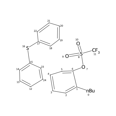 CCCCc1ccccc1OS(=O)(=O)C(F)(F)F.c1ccc(Sc2ccccc2)cc1